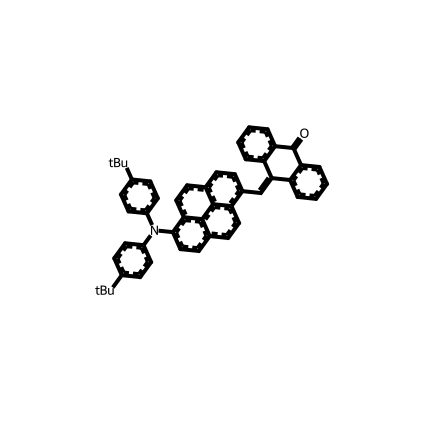 CC(C)(C)c1ccc(N(c2ccc(C(C)(C)C)cc2)c2ccc3ccc4c(C=C5c6ccccc6C(=O)c6ccccc65)ccc5ccc2c3c54)cc1